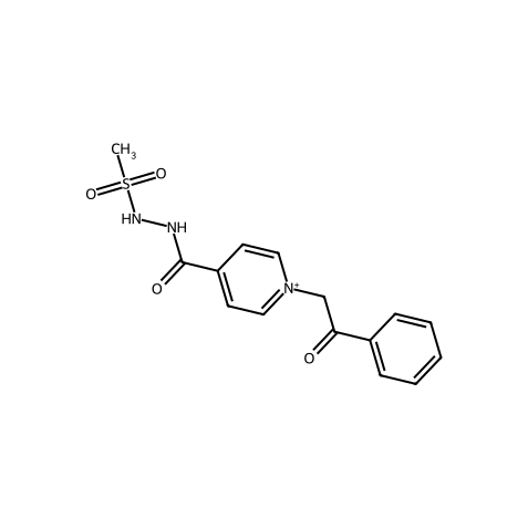 CS(=O)(=O)NNC(=O)c1cc[n+](CC(=O)c2ccccc2)cc1